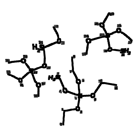 CCO[Si](O[SiH3])(OCC)OCC.CO[SiH2]O[Si](OC)(OC)OC.CO[Si](OC)(OC)O[SiH3]